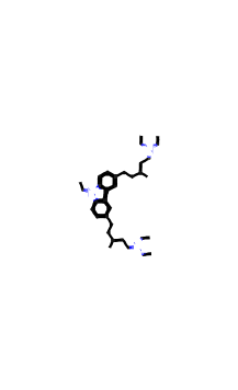 CCN(CC)CCC(C)CCc1ccc2c(c1)c1cc(CCC(C)CCN(CC)CC)ccc1n2CC